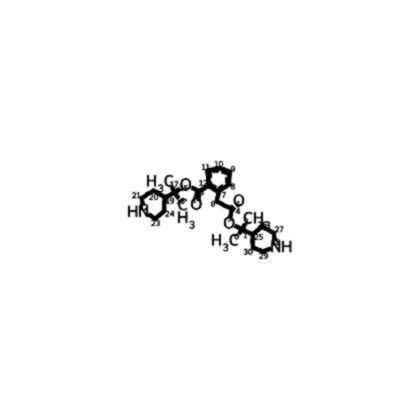 CC(C)(OC(=O)Cc1ccccc1C(=O)OC(C)(C)C1CCNCC1)C1CCNCC1